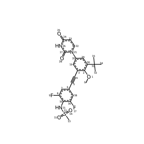 COc1c(C#Cc2cc(F)c(NS(C)(=O)=O)c(F)c2)cc(-n2ccc(=O)[nH]c2=O)cc1C(C)(C)C